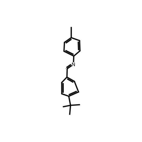 Cc1ccc(N=[C]c2ccc(C(C)(C)C)cc2)cc1